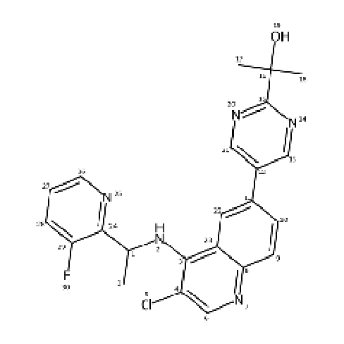 CC(Nc1c(Cl)cnc2ccc(-c3cnc(C(C)(C)O)nc3)cc12)c1ncccc1F